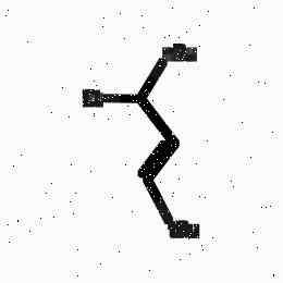 CCCCC(/C=C/C(C)(C)C)CC